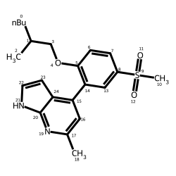 CCCCC(C)COc1ccc(S(C)(=O)=O)cc1-c1cc(C)nc2[nH]ccc12